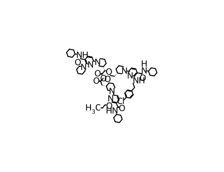 CCCOc1nc(N2CCC[C@@H](CC(=O)OC(=O)C(OC(=O)C[C@@H]3CCCN(c4ccc(C(=O)NC5CCCCC5)c(NCCc5ccc(Cl)cc5)n4)C3)[C@H]3CCCN(c4ccc(C(=O)NC5CCCCC5)c(N5CCCCC5)n4)C3)C2)ccc1C(=O)NC1CCCCC1